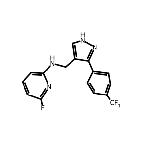 Fc1cccc(NCc2c[nH]nc2-c2ccc(C(F)(F)F)cc2)n1